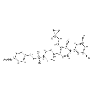 CC(=O)Nc1ccc(SCS(=O)(=O)N2CCN(c3cnn(-c4cc(F)cc(F)c4)c(=O)c3OCC3(C)CC3)CC2)cc1